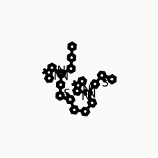 CC1(C)c2ccccc2-c2c(-c3nc(-c4ccc(-c5cccc6c5sc5ccc(-c7cccc(-c8cccc(-c9cccc(-c%10nc(-c%11ccc(-c%12cccc%13c%12sc%12ccccc%12%13)cc%11)nc(-c%11cccc%12c%11-c%11ccccc%11C%12(C)C)n%10)c9)c8)c7)cc56)cc4)nc(-c4cccc(-c5ccc(-c6ccccc6)cc5)c4)n3)cccc21